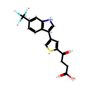 O=C(O)CCC(=O)c1cc(-c2c[nH]c3cc(C(F)(F)F)ccc23)cs1